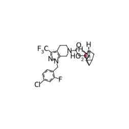 O=C(O)[C@H]1C2C3C[C@H]1C(CC(=O)N1CCc4c(C(F)(F)F)nn(Cc5ccc(Cl)cc5F)c4C1)C32